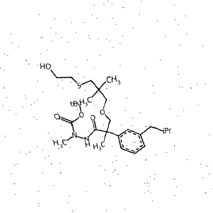 CC(C)Cc1cccc(C(C)(COCC(C)(C)CSCCO)C(=O)NN(C)C(=O)OC(C)(C)C)c1